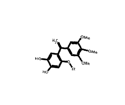 C=C(c1cc(OC)c(OC)c(OC)c1)c1cc(O)c(O)cc1OCC